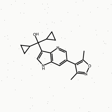 Cc1noc(C)c1-c1cnc2c(C(O)(C3CC3)C3CC3)c[nH]c2c1